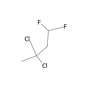 CC(Cl)(Cl)CC(F)F